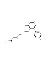 COC(=O)CC(O)CSCCc1c(C)cc(C)cc1-c1ccc(F)c(C)c1